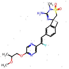 COC(C)COc1cnc(/C(F)=C/c2ccc3c(c2)[C@]2(C3)CS(=O)(=O)N(C)C(N)=N2)cn1